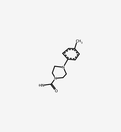 Cc1ccc(N2CCN(C([NH])=O)CC2)cc1